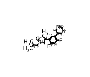 C/C(=N\[S+]([O-])CC(C)C)c1cc(-c2cncnc2)c(F)cc1F